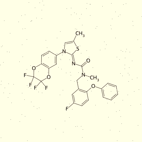 Cc1cn(-c2ccc3c(c2)OC(F)(F)C(F)(F)O3)/c(=N/C(=O)N(C)Cc2cc(F)ccc2Oc2ccccc2)s1